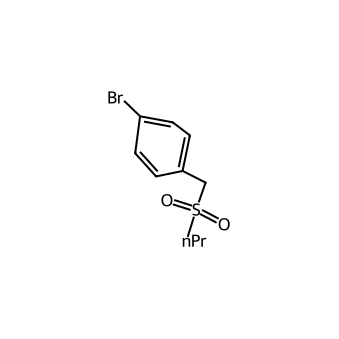 CCCS(=O)(=O)Cc1ccc(Br)cc1